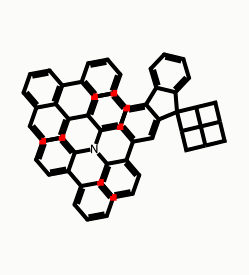 c1ccc(-c2ccccc2N(c2ccccc2-c2ccc3c(c2)C2(c4ccccc4-3)C3CC4CC5CC2C453)c2ccccc2-c2cccc3cccc(-c4ccccc4)c23)cc1